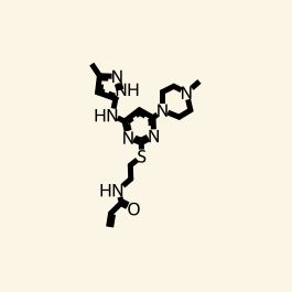 C=CC(=O)NCCSc1nc(Nc2cc(C)n[nH]2)cc(N2CCN(C)CC2)n1